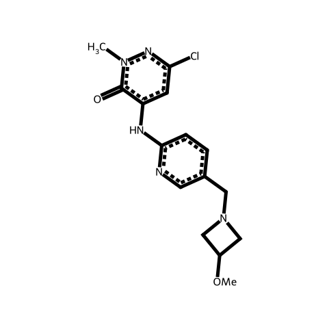 COC1CN(Cc2ccc(Nc3cc(Cl)nn(C)c3=O)nc2)C1